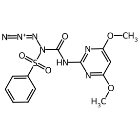 COc1cc(OC)nc(NC(=O)N(N=[N+]=[N-])S(=O)(=O)c2ccccc2)n1